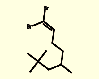 CC(CCC=C(Br)Br)CC(C)(C)C